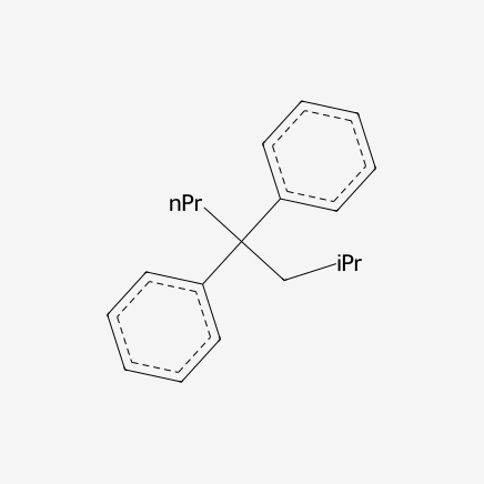 CCCC(CC(C)C)(c1ccccc1)c1ccccc1